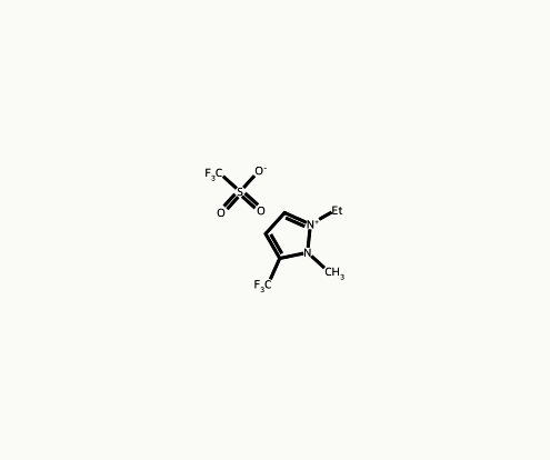 CC[n+]1ccc(C(F)(F)F)n1C.O=S(=O)([O-])C(F)(F)F